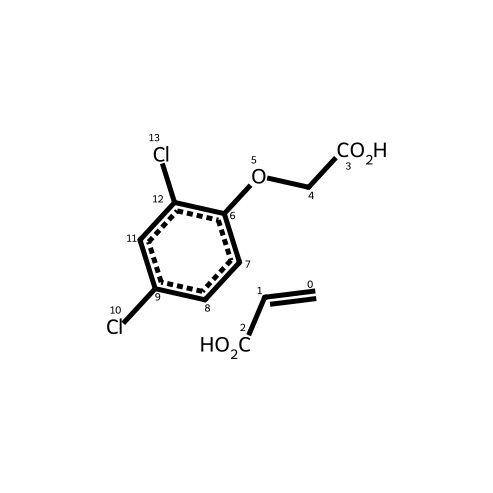 C=CC(=O)O.O=C(O)COc1ccc(Cl)cc1Cl